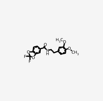 COc1ccc(CCNC(=O)c2ccc3c(c2)OC(F)(F)O3)cc1OC